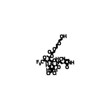 C[C@@H](OC(=O)COCCOCCO)[C@H](NC(=O)C(F)(F)F)C(=O)N1C[C@H]2[C@@H]([C@H]1C(=O)N[C@H](C#N)C[C@@H]1CCNC1=O)C2(Cl)Cl